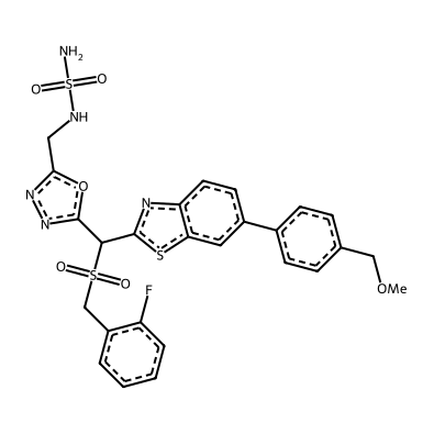 COCc1ccc(-c2ccc3nc(C(c4nnc(CNS(N)(=O)=O)o4)S(=O)(=O)Cc4ccccc4F)sc3c2)cc1